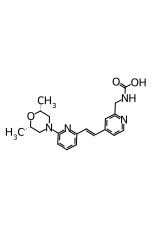 C[C@@H]1CN(c2cccc(/C=C/c3ccnc(CNC(=O)O)c3)n2)C[C@H](C)O1